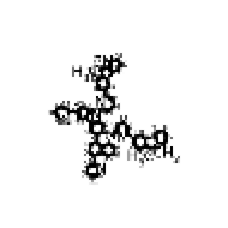 CC1(C)c2ccccc2-c2cc(-c3cccc(N4c5cc6c(cc5-c5ccc(-c7ccccn7)c7cccc4c57)c4cc(-c5ccccn5)ccc4n6-c4cccc(-c5ccc6c(c5)-c5ccccc5C6(C)C)n4)n3)ccc21